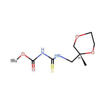 CC(C)(C)OC(=O)NC(=S)NC[C@]1(C)COCCO1